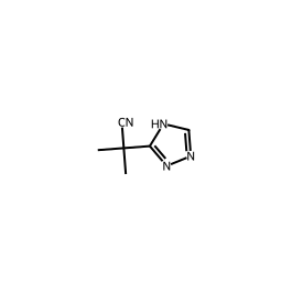 CC(C)(C#N)c1nnc[nH]1